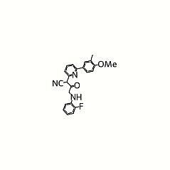 COc1ccc(-c2cccc(C(C#N)C(=O)CNc3ccccc3F)n2)cc1C